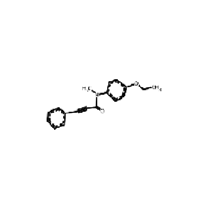 CCOc1ccc(N(C)C(=O)C#Cc2ccccc2)cc1